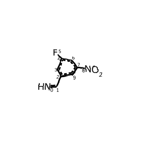 N=Cc1cc(F)cc([N+](=O)[O-])c1